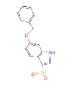 O=[SH](=O)c1c[nH]c2cc(OCc3ccccc3)ccc12